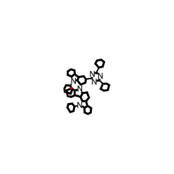 c1ccc(-c2nc(-c3ccccc3)nc(-c3cc(-n4c5ccccc5c5c4ccc4c6ccccc6n(-c6ccccc6)c45)c4c(c3)c3ccccc3n4-c3ccccc3)n2)cc1